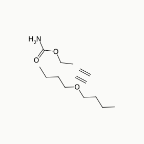 C=C.C=C.CCCCOCCCC.CCOC(N)=O